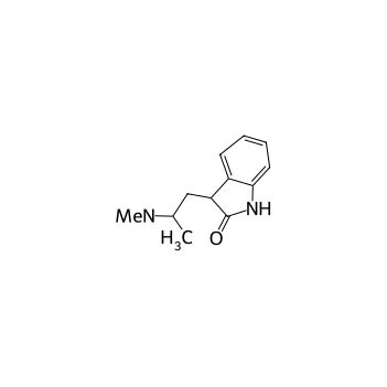 CNC(C)CC1C(=O)Nc2ccccc21